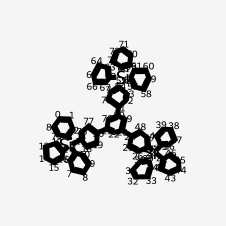 c1ccc([Si](c2ccccc2)(c2ccccc2)c2ccc(-c3cc(-c4ccc([Si](c5ccccc5)(c5ccccc5)c5ccccc5)cc4)cc(-c4ccc([Si](c5ccccc5)(c5ccccc5)c5ccccc5)cc4)c3)cc2)cc1